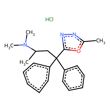 Cc1nnc(C(CC(C)N(C)C)(c2ccccc2)c2ccccc2)o1.Cl